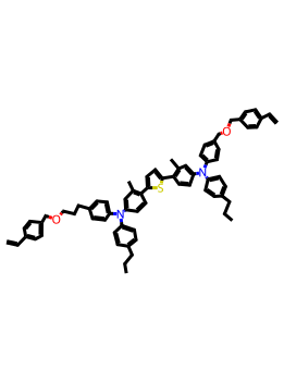 C=Cc1ccc(COCCCc2ccc(N(c3ccc(CCC)cc3)c3ccc(-c4ccc(-c5ccc(N(c6ccc(CCC)cc6)c6ccc(COCc7ccc(C=C)cc7)cc6)cc5C)s4)c(C)c3)cc2)cc1